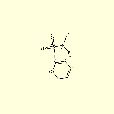 C1=CCOC=C1.O=S(=O)(F)N(F)F